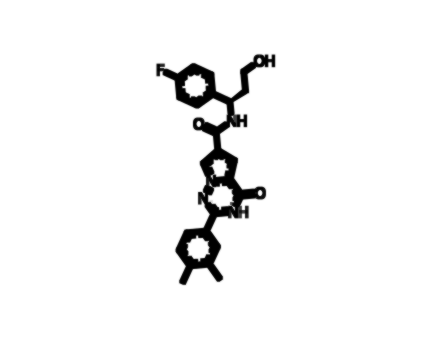 Cc1ccc(-c2nn3cc(C(=O)N[C@H](CCO)c4ccc(F)cc4)cc3c(=O)[nH]2)cc1C